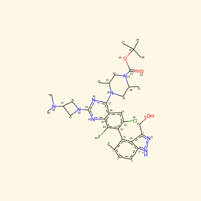 Cc1ccc2[nH]nc(CO)c2c1-c1c(Cl)cc2c(N3CC(C)N(C(=O)OC(C)(C)C)CC3C)nc(N3CC(N(C)C)C3)nc2c1F